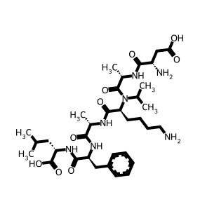 CC(C)C[C@H](NC(=O)[C@H](Cc1ccccc1)NC(=O)[C@H](C)NC(=O)[C@H](CCCCN)N(C(=O)[C@H](C)NC(=O)[C@@H](N)CC(=O)O)C(C)C)C(=O)O